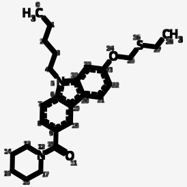 CCCCCn1c2ccc(C(=O)N3CCCCC3)cc2c2ccc(OCSCC)cc21